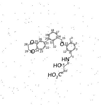 Cc1ccc(CNC[C@@H](O)CC(=O)O)cc1OCc1cccc(-c2ccc3c(c2)OCCO3)c1C